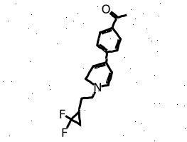 CC(=O)c1ccc(C2=CCN(CCC3CC3(F)F)C=C2)cc1